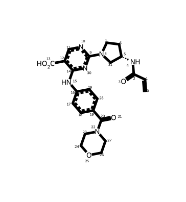 C=CC(=O)N[C@H]1CCN(c2ncc(C(=O)O)c(Nc3ccc(C(=O)N4CCOCC4)cc3)n2)C1